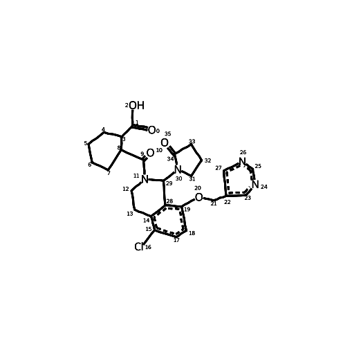 O=C(O)C1CCCCC1C(=O)N1CCc2c(Cl)ccc(OCc3cncnc3)c2C1N1CCCC1=O